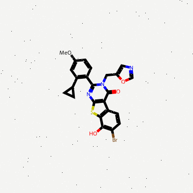 COc1ccc(-c2nc3sc4c(O)c(Br)ccc4c3c(=O)n2Cc2cnco2)c(C2CC2)c1